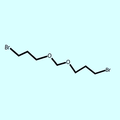 BrCCCOCOCCCBr